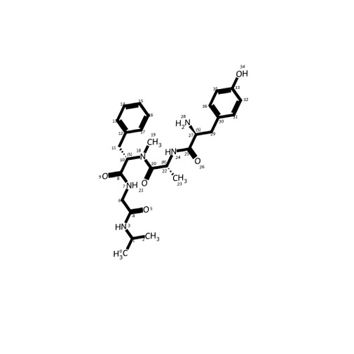 CC(C)NC(=O)CNC(=O)[C@H](Cc1ccccc1)N(C)C(=O)[C@@H](C)NC(=O)[C@@H](N)Cc1ccc(O)cc1